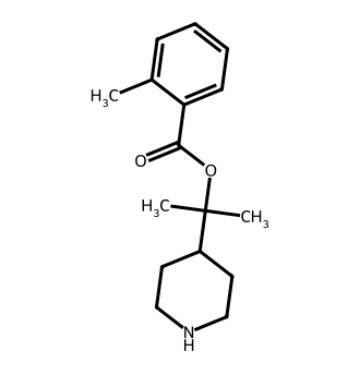 Cc1ccccc1C(=O)OC(C)(C)C1CCNCC1